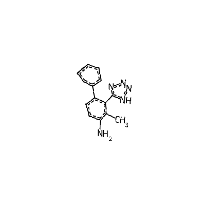 Cc1c(N)ccc(-c2ccccc2)c1-c1nnn[nH]1